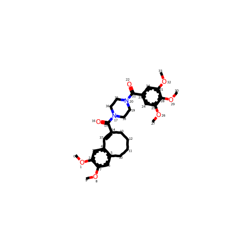 COc1cc2c(cc1OC)CCCC/C(C(=O)N1CCN(C(=O)c3cc(OC)c(OC)c(OC)c3)CC1)=C\2